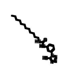 CCCCCCCCCCCCNC(=O)Nc1cccc(-n2nnnc2S)c1